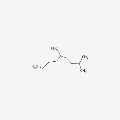 [CH2]C(C)CCC(C)CCCC